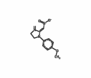 COc1ccc(N2CCNC2=C[N+](=O)[O-])cc1